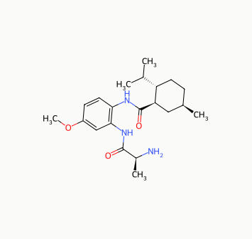 COc1ccc(NC(=O)[C@@H]2C[C@H](C)CC[C@H]2C(C)C)c(NC(=O)[C@H](C)N)c1